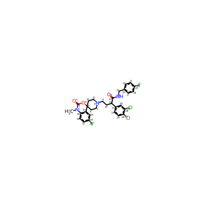 CN1C(=O)OC2(CCN(CCC(C(=O)NCc3ccc(F)cc3)c3ccc(Cl)c(Cl)c3)CC2)c2cc(F)ccc21